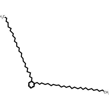 CCCCCCCCCCCCCCCCCCCCCCCCCCc1[c]cccc1CCCCCCCCCCCCCCCCCCCCCCCCCC